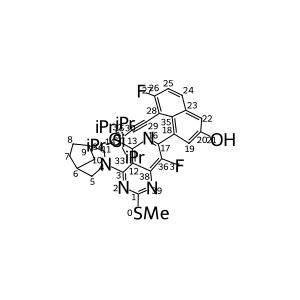 CSc1nc(N2CC3CCC(C3)C2)c2c(OC(C)C)nc(-c3cc(O)cc4ccc(F)c(C#C[Si](C(C)C)(C(C)C)C(C)C)c34)c(F)c2n1